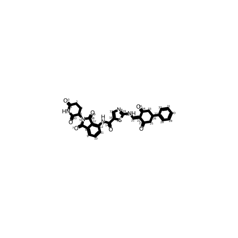 O=C1CCC(N2C(=O)c3cccc(NC(=O)c4cnc(NC=C5C(=O)CC(c6ccccc6)CC5=O)s4)c3C2=O)C(=O)N1